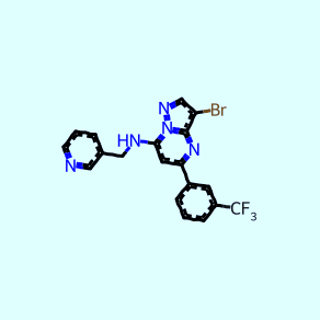 FC(F)(F)c1cccc(-c2cc(NCc3cccnc3)n3ncc(Br)c3n2)c1